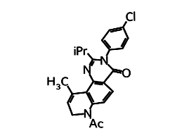 CC(=O)N1CC=C(C)c2c1ccc1c(=O)n(-c3ccc(Cl)cc3)c(C(C)C)nc21